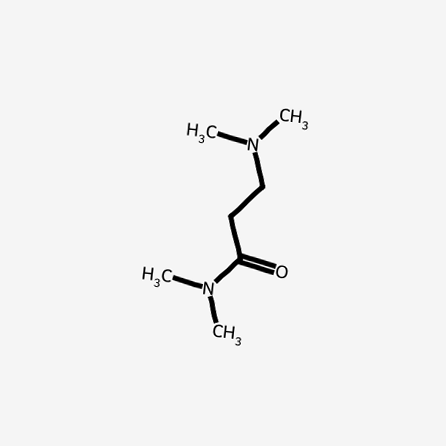 CN(C)CCC(=O)N(C)C